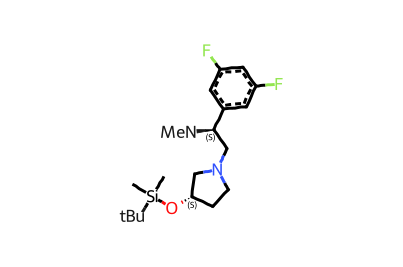 CN[C@H](CN1CC[C@H](O[Si](C)(C)C(C)(C)C)C1)c1cc(F)cc(F)c1